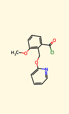 COc1cccc(C(=O)Cl)c1COc1ccccn1